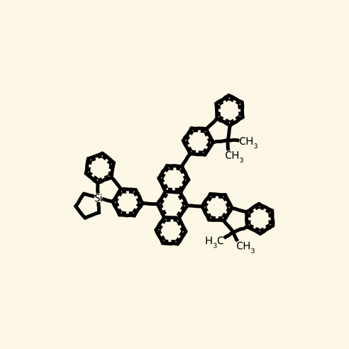 CC1(C)c2ccccc2-c2ccc(-c3ccc4c(-c5ccc6c(c5)-c5ccccc5[Si]65CCCC5)c5ccccc5c(-c5ccc6c(c5)C(C)(C)c5ccccc5-6)c4c3)cc21